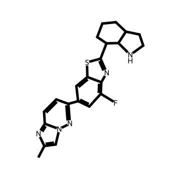 Cc1cn2nc(-c3cc(F)c4nc(C5CCCC6CCNC65)sc4c3)ccc2n1